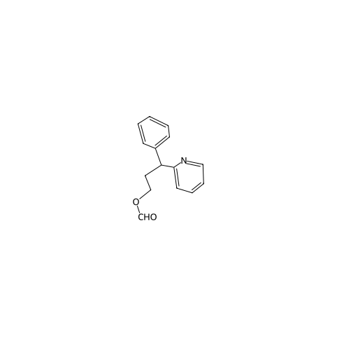 O=COCCC(c1ccccc1)c1ccccn1